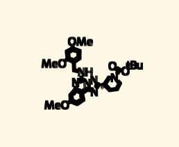 COc1ccc(CNc2nc3cc(OC)ccc3c3nc([C@@H]4CCCN(C(=O)OC(C)(C)C)C4)nn23)c(OC)c1